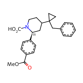 COC(=O)c1ccc([C@@H]2CC(C3(Cc4ccccc4)CC3)CCN2C(=O)O)cc1